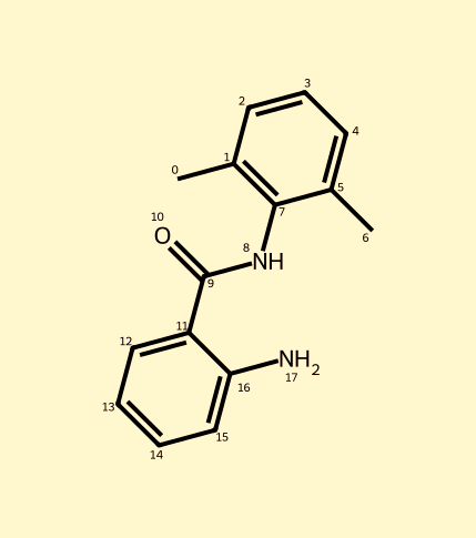 Cc1cccc(C)c1NC(=O)c1ccccc1N